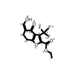 CCOC(=O)c1oc2c(c1C(F)(F)F)C(=O)C(=CO)CC2